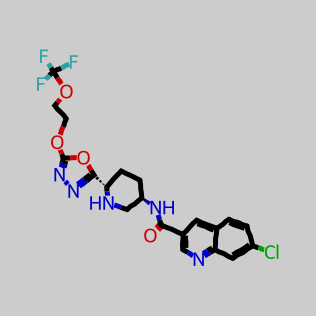 O=C(N[C@@H]1CC[C@@H](c2nnc(OCCOC(F)(F)F)o2)NC1)c1cnc2cc(Cl)ccc2c1